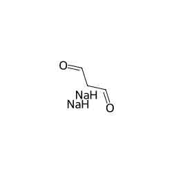 O=CCC=O.[NaH].[NaH]